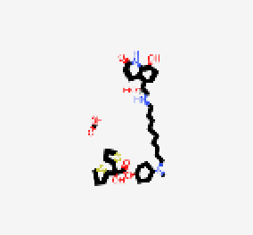 CN(CCCCCCCCCNC[C@H](O)c1ccc(O)c2[nH]c(=O)ccc12)[C@H]1CC[C@H](OC(=O)C(O)(c2cccs2)c2cccs2)CC1.O=CO